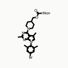 CCCCCCCCCC(=O)OCC1CCN(c2nc(C)nc3c2c(C)cn3-c2c(C)cc(Br)cc2C)CC1